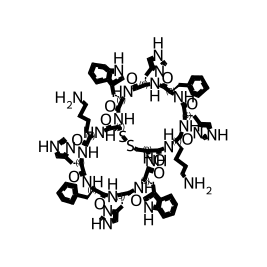 NCCCC[C@H]1NC(=O)[C@@H]2CSS[C@H](NC(=O)[C@H](Cc3c[nH]c4ccccc34)NC(=O)[C@H](Cc3c[nH]cn3)NC(=O)[C@@H](Cc3ccccc3)NC(=O)[C@H](Cc3c[nH]cn3)NC1=O)C(=O)N[C@H](CCCCN)C(=O)N[C@@H](Cc1c[nH]cn1)C(=O)N[C@H](Cc1ccccc1)C(=O)N[C@@H](Cc1c[nH]cn1)C(=O)N[C@@H](Cc1c[nH]c3ccccc13)C(=O)N2